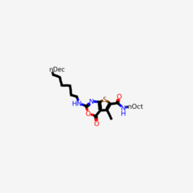 CCCCCCCCCCCCCCCCNc1nc2sc(C(=O)NCCCCCCCC)c(C)c2c(=O)o1